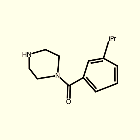 CC(C)c1cccc(C(=O)N2CCNCC2)c1